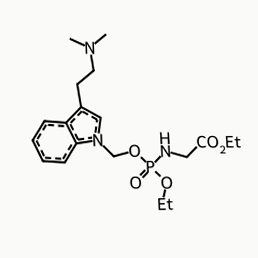 CCOC(=O)CNP(=O)(OCC)OCn1cc(CCN(C)C)c2ccccc21